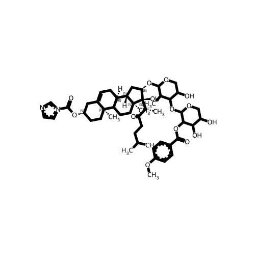 COc1ccc(C(=O)OC2C(OC3C(O)COC(O[C@H]4C[C@H]5[C@@H]6CC=C7C[C@@H](OC(=O)n8ccnc8)CC[C@]7(C)C6CC[C@]5(C)[C@@]4(O)[C@H](C)C(=O)CCC(C)C)C3C)OCC(O)C2O)cc1